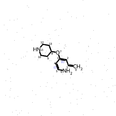 C=C/C=C(\C=C/N)OC1CCNCC1